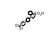 CCC(CC)N1CCN(c2ccc(N3CCN(C(=O)O)c4ccccc43)cc2)CC1